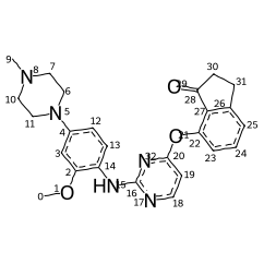 COc1cc(N2CCN(C)CC2)ccc1Nc1nccc(Oc2cccc3c2C(=O)CC3)n1